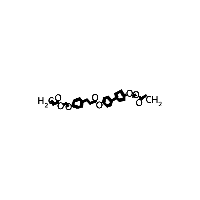 C=CC(=O)OCOc1ccc(CCC(=O)Oc2ccc(-c3ccc(OCOC(=O)C=C)cc3)cc2)cc1